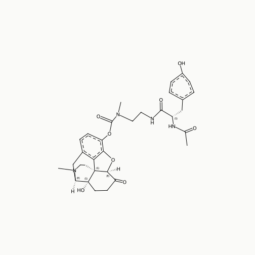 CC(=O)N[C@@H](Cc1ccc(O)cc1)C(=O)NCCN(C)C(=O)Oc1ccc2c3c1O[C@H]1C(=O)CC[C@@]4(O)[C@@H](C2)N(C)CC[C@]314